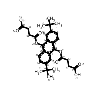 CC(C)(C)c1ccc2c(OC(=O)CCC(=O)O)c3cc(C(C)(C)C)ccc3c(OC(=O)CCC(=O)O)c2c1